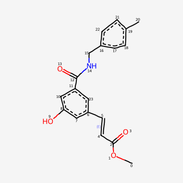 COC(=O)/C=C/c1cc(O)cc(C(=O)NCc2ccc(C)cc2)c1